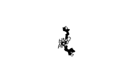 O=C(C=Cc1ccsc1)NS(=O)(=O)NC=Cc1ccsc1